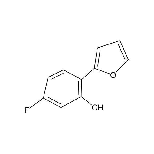 Oc1cc(F)ccc1-c1ccco1